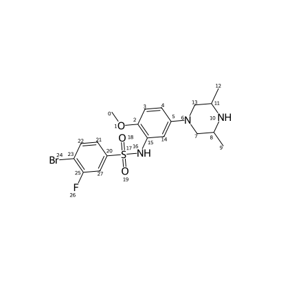 COc1ccc(N2CC(C)NC(C)C2)cc1NS(=O)(=O)c1ccc(Br)c(F)c1